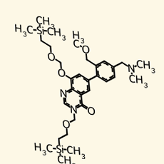 COCc1cc(CN(C)C)ccc1-c1cc(OCOCC[Si](C)(C)C)c2ncn(COCC[Si](C)(C)C)c(=O)c2c1